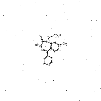 CCC(C)[C@@H]1N=C(c2ccccc2)c2ccc(Cl)cc2N(CC(=O)O)C1=O